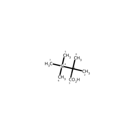 CC(C)(C(=O)O)[Si](C)(C)C